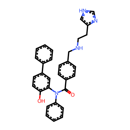 O=C(c1ccc(CNCCc2c[nH]cn2)cc1)N(c1ccccc1)c1cc(-c2ccccc2)ccc1O